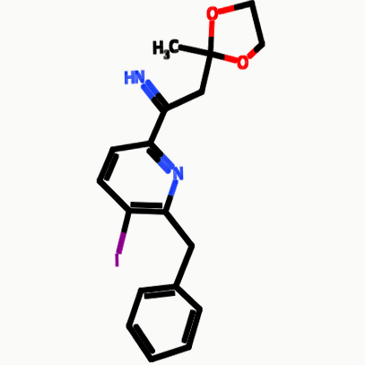 CC1(CC(=N)c2ccc(I)c(Cc3ccccc3)n2)OCCO1